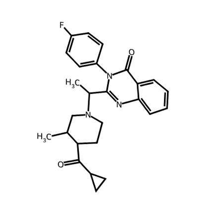 CC1CN(C(C)c2nc3ccccc3c(=O)n2-c2ccc(F)cc2)CCC1C(=O)C1CC1